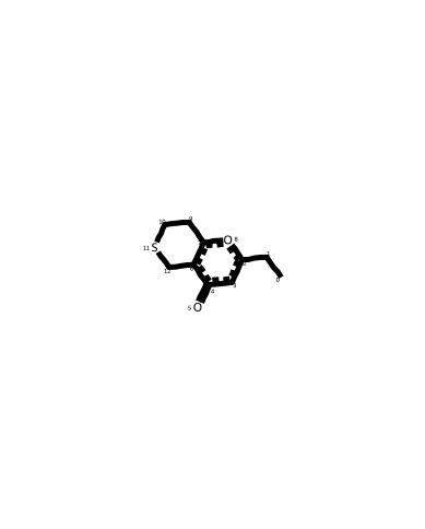 CCc1cc(=O)c2c(o1)CCSC2